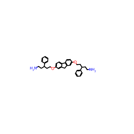 NCCC(CCOc1ccc2c(c1)Cc1cc(OCCC(CCN)c3ccccc3)ccc1-2)c1ccccc1